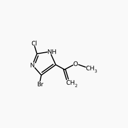 C=C(OC)c1[nH]c(Cl)nc1Br